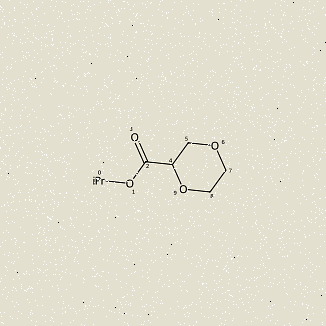 CC(C)OC(=O)C1COCCO1